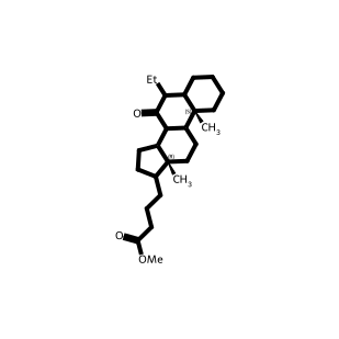 CCC1C(=O)C2C(CC[C@]3(C)C(CCCC(=O)OC)CCC23)[C@@]2(C)CCCCC12